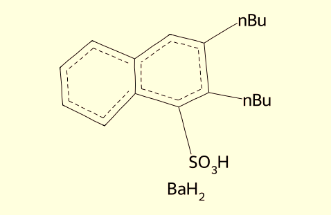 CCCCc1cc2ccccc2c(S(=O)(=O)O)c1CCCC.[BaH2]